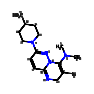 CCC1=C(N(C)C)N2N=C(N3CCC(C(=O)O)CC3)C=CC2=NC1